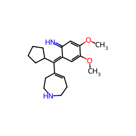 COC1=CC(=N)/C(=C(/C2=CCCNCC2)C2CCCC2)C=C1OC